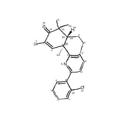 [C-]#[N+]C1=C[C@]2(C)c3nc(-c4ccccc4Cl)ccc3CC[C@H]2C(C)(C)C1=O